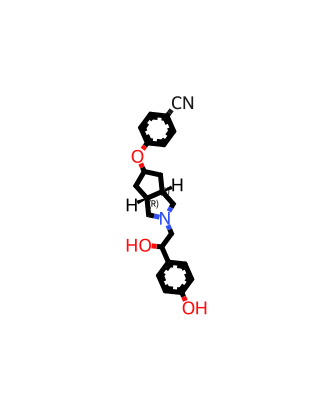 N#Cc1ccc(OC2C[C@@H]3CN(CC(O)c4ccc(O)cc4)C[C@@H]3C2)cc1